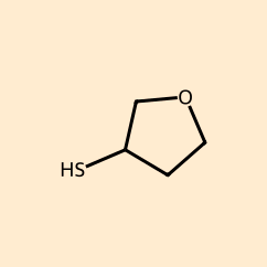 SC1CCOC1